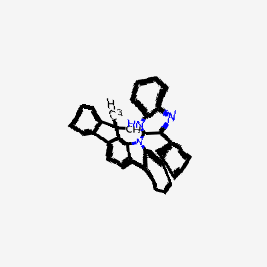 CC1(C)c2ccccc2-c2ccc3c4ccccc4n(C4Nc5ccccc5N=C4c4ccccc4)c3c21